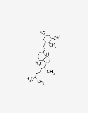 C=C1/C(=C\C=C2CCC[C@]3(C)[C@@H]([C@H](C)CCCC(C)C)CC[C@@H]23)C[C@@H](O)C[C@H]1O